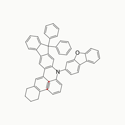 c1ccc(N(c2ccc3c(c2)oc2ccccc23)c2cc3c(cc2-c2ccc4c(c2)CCCC4)-c2ccccc2C3(c2ccccc2)c2ccccc2)cc1